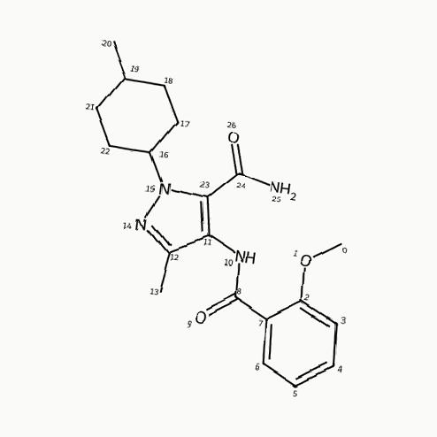 COc1ccccc1C(=O)Nc1c(C)nn(C2CCC(C)CC2)c1C(N)=O